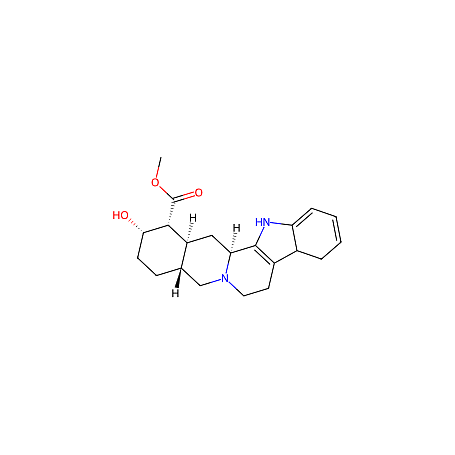 COC(=O)[C@@H]1[C@H]2C[C@H]3C4=C(CCN3C[C@@H]2CC[C@@H]1O)C1CC=CC=C1N4